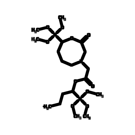 [CH2]CCC(OC(=O)CN1CCCC([Si](OC)(OC)OC)OC(=O)C1)[Si](OC)(OC)OC